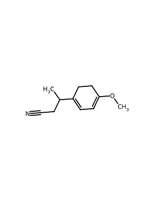 COC1=CC=C(C(C)CC#N)CC1